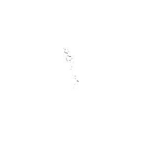 Cn1cc(-c2ccc(NCCC(F)CCN3CC(C(=O)N4CCOCC4)C3)cc2)cn1